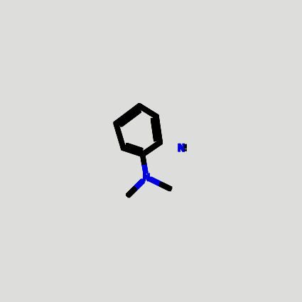 CN(C)c1ccccc1.[N]